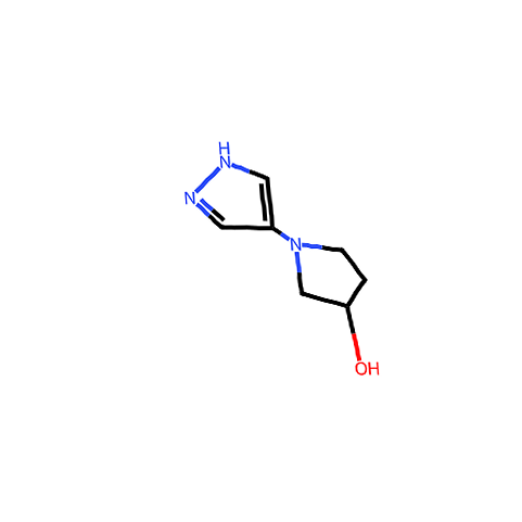 OC1CCN(c2cn[nH]c2)C1